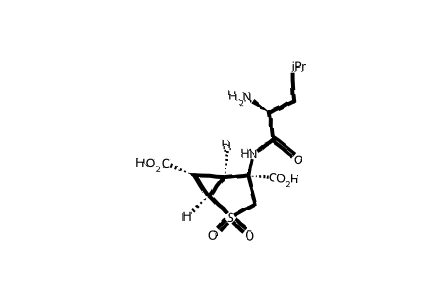 CC(C)C[C@H](N)C(=O)N[C@@]1(C(=O)O)CS(=O)(=O)[C@H]2[C@H](C(=O)O)[C@H]21